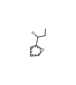 CCC([O])c1ccco1